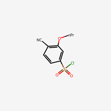 CCCOc1cc(S(=O)(=O)Cl)ccc1C#N